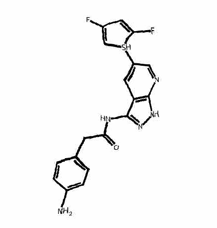 Nc1ccc(CC(=O)Nc2n[nH]c3ncc([SH]4C=C(F)C=C4F)cc23)cc1